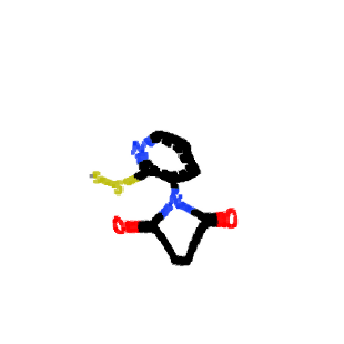 O=C1CCC(=O)N1c1cccnc1S[S]